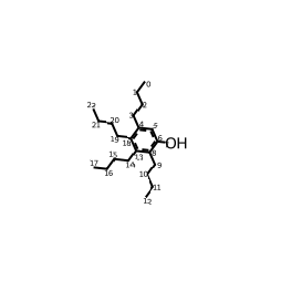 CCCCc1cc(O)c(CCCC)c(CCCC)c1CCCC